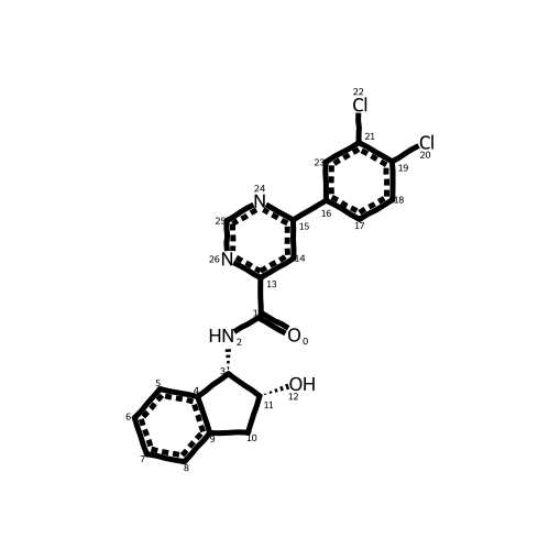 O=C(N[C@H]1c2ccccc2C[C@H]1O)c1cc(-c2ccc(Cl)c(Cl)c2)ncn1